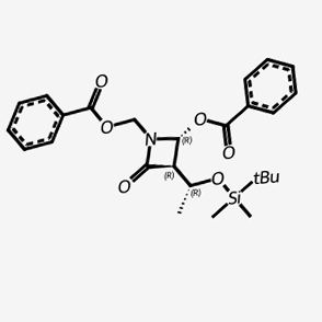 C[C@@H](O[Si](C)(C)C(C)(C)C)[C@H]1C(=O)N(COC(=O)c2ccccc2)[C@@H]1OC(=O)c1ccccc1